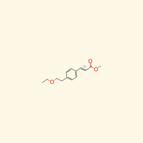 CCOCCc1ccc(/C=C/C(=O)OC)cc1